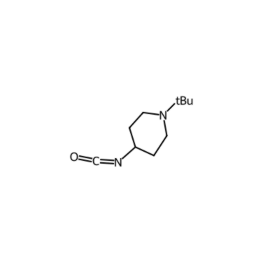 CC(C)(C)N1CCC(N=C=O)CC1